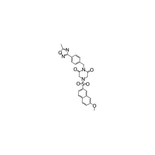 COc1ccc2ccc(S(=O)(=O)N3CC(=O)N(Cc4ccc(-c5noc(C)n5)cc4)C(=O)C3)cc2c1